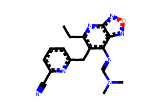 CCc1nc2nonc2c(/N=C/N(C)C)c1Cc1cccc(C#N)n1